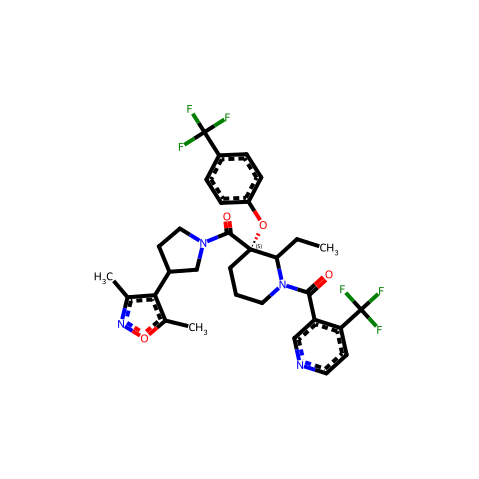 CCC1N(C(=O)c2cnccc2C(F)(F)F)CCC[C@@]1(Oc1ccc(C(F)(F)F)cc1)C(=O)N1CCC(c2c(C)noc2C)C1